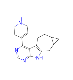 C1=C(c2ncnc3[nH]c4c(c23)CCC2CC2C4)CCNC1